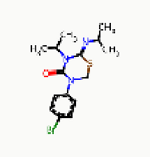 CC(C)N=C1SCN(c2ccc(Br)cc2)C(=O)N1C(C)C